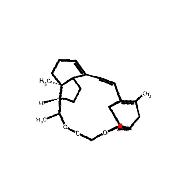 CC1=C2/C=C\C3=CCC[C@@]4(C)C3CC[C@@H]4C(C)OCCOC3(C2)OCCOC3C1